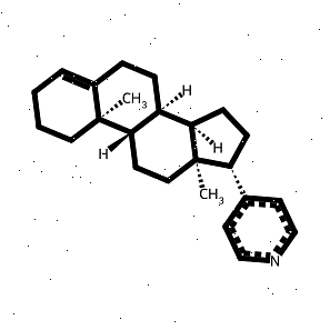 C[C@]12CC[C@H]3[C@@H](CCC4=CCCC[C@@]43C)[C@H]1CC[C@@H]2c1ccncc1